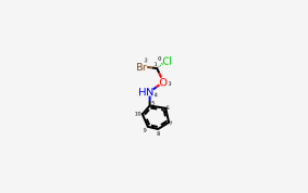 Cl[C@@H](Br)ONc1ccccc1